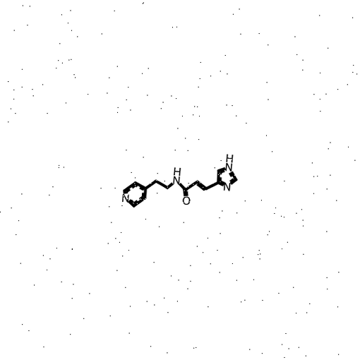 O=C(/C=C/c1c[nH]cn1)NCCc1ccncc1